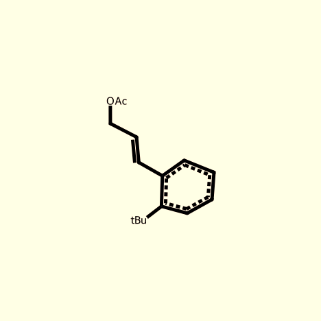 CC(=O)OC/C=C/c1ccccc1C(C)(C)C